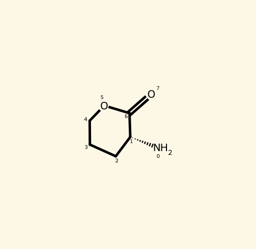 N[C@@H]1CCCOC1=O